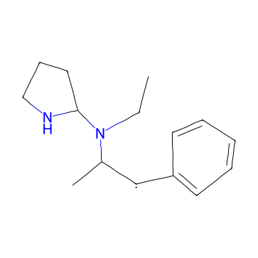 CCN(C(C)[CH]c1ccccc1)C1CCCN1